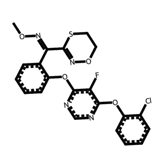 CO/N=C(/C1=NOCCS1)c1ccccc1Oc1ncnc(Oc2ccccc2Cl)c1F